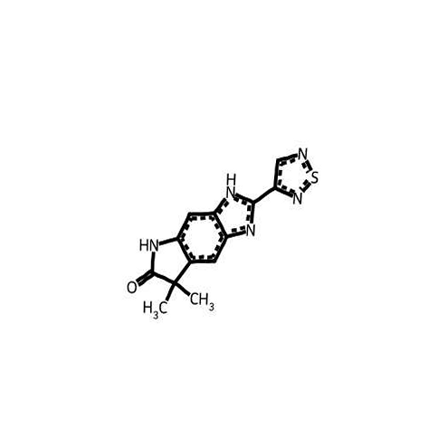 CC1(C)C(=O)Nc2cc3[nH]c(-c4cnsn4)nc3cc21